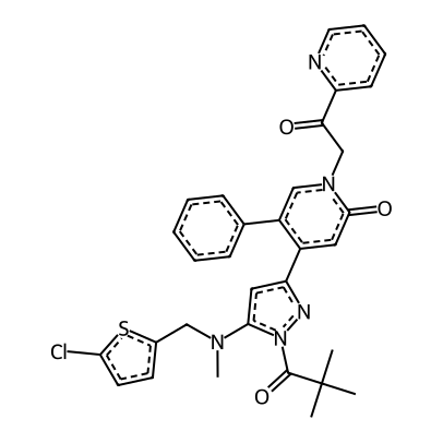 CN(Cc1ccc(Cl)s1)c1cc(-c2cc(=O)n(CC(=O)c3ccccn3)cc2-c2ccccc2)nn1C(=O)C(C)(C)C